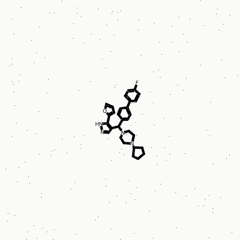 Fc1ccc(-c2ccc(C(c3cn[nH]c3-c3ccco3)N3CCN(C4CCCC4)CC3)cc2)cc1